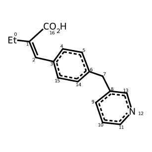 CCC(=Cc1ccc(Cc2cccnc2)cc1)C(=O)O